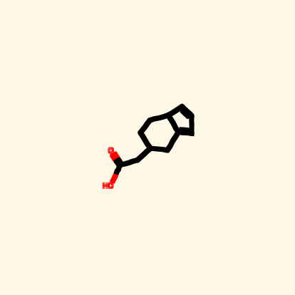 O=C(O)CC1CCC2C=CC=C2C1